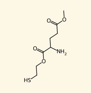 COC(=O)CCC(N)C(=O)OCCS